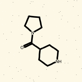 O=C(C1CCNCC1)N1C[CH]CC1